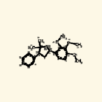 COc1ccc([C@H]2C[C@@H](c3ccncc3)C(C)(C)N2)c(OC)c1OC